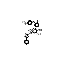 CCOc1ccc(Cc2cc([C@@H]3O[C@](O)(CSc4nc(-c5ccccc5)cs4)C[C@@H](O)[C@H]3O)ccc2Cl)cc1